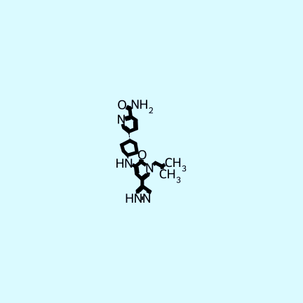 CC(C)Cn1cc(-c2cn[nH]c2)cc(N[C@H]2CC[C@@H](c3ccc(C(N)=O)nc3)CC2)c1=O